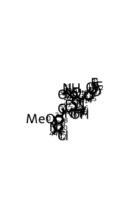 COc1cc(C(=O)NC[C@](O)(c2nc(-c3ccc4c(c3)OC(F)(F)O4)c3c(c2F)[C@](C)(C(N)=O)CO3)C2CC2)cc2cc(Cl)c(C)nc12